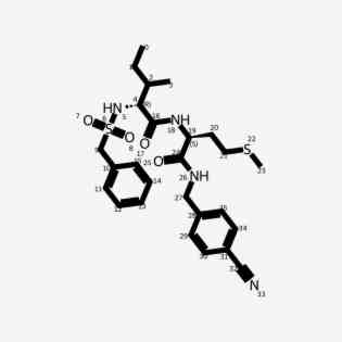 CCC(C)[C@@H](NS(=O)(=O)Cc1ccccc1)C(=O)N[C@@H](CCSC)C(=O)NCc1ccc(C#N)cc1